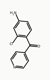 Nc1ccc(C(=O)c2ccncc2)c(Cl)c1